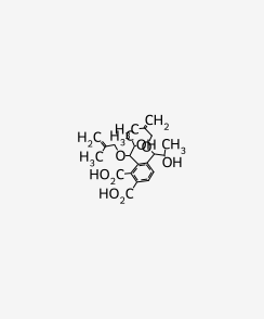 C=C(C)COC(c1ccc(C(=O)O)c(C(=O)O)c1C(OCC(=C)C)C(C)O)C(C)O